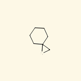 C1CCC2(CC1)CN2